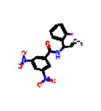 C=CC(NC(=O)c1cc([N+](=O)[O-])cc([N+](=O)[O-])c1)c1ccccc1I